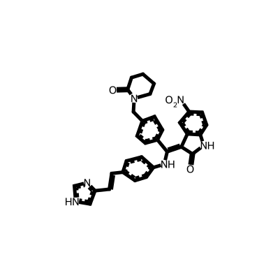 O=C1Nc2ccc([N+](=O)[O-])cc2/C1=C(/Nc1ccc(/C=C/c2c[nH]cn2)cc1)c1ccc(CN2CCCCC2=O)cc1